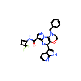 O=C(NC1CCC1(F)F)c1cnn2c3c(c(-c4c[nH]c5ncccc45)nc12)OCCN3Cc1ccccc1